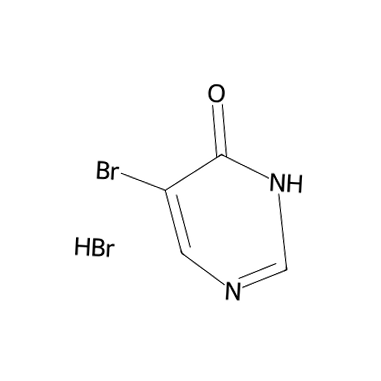 Br.O=c1[nH]cncc1Br